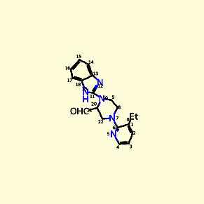 CCc1cccnc1N1CCN(c2nc3ccccc3[nH]2)C(C=O)C1